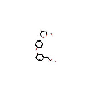 COC(=O)Cc1cccc(Oc2ccc([C@H]3O[C@H](CO)[C@@H](O)[C@H](O)[C@H]3O)cc2)c1